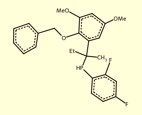 CCC(C)(Pc1ccc(F)cc1F)c1cc(OC)cc(OC)c1OCc1ccccc1